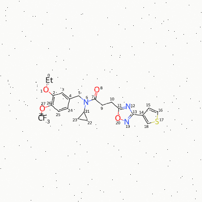 CCOc1cc(CN(C(=O)CCc2nc(-c3ccsc3)no2)C2CC2)ccc1OC(F)(F)F